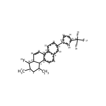 CC1CC(C)C2c3ccc4cc(-n5ccc(C(F)(F)F)n5)ccc4c3C=CC2C1F